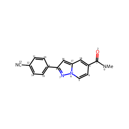 CNC(=O)c1ccn2nc(-c3ccc(C#N)cc3)cc2c1